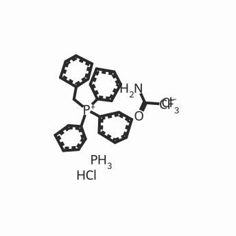 Cl.NC(=O)C(F)(F)F.P.[Cl-].c1ccc(C[P+](c2ccccc2)(c2ccccc2)c2ccccc2)cc1